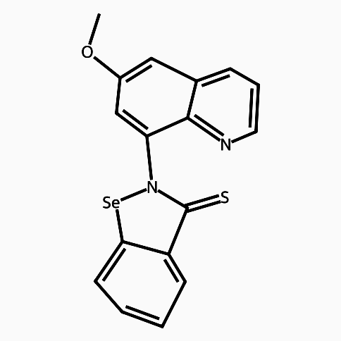 COc1cc(-n2[se]c3ccccc3c2=S)c2ncccc2c1